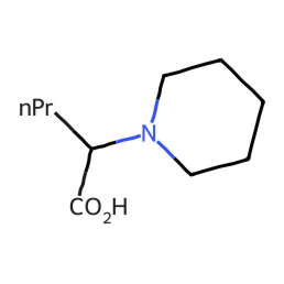 CCCC(C(=O)O)N1CCCCC1